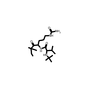 CCC(C)(C)C(=O)C(CCCNC(N)=O)NC(=O)C(NC(C)(C)C)C(C)C